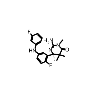 CN1C(=O)C(C)(C)[C@@](C)(c2cc(Nc3cccc(F)c3)ccc2F)N=C1N